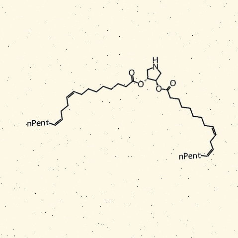 CCCCC/C=C\C/C=C\CCCCCCCC(=O)O[C@@H]1CNC[C@H]1OC(=O)CCCCCCC/C=C\CC/C=C\CCCCC